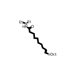 CCCCCCCCC=CCCCCCCCC(=O)NN(CC)CC